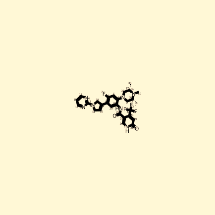 C[C@@H]1CN(c2cc(F)c(C3=CCN(c4ncccn4)C3)cc2NC(=O)c2c[nH]c(=O)cc2C(F)(F)F)C[C@H](C)N1C